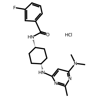 Cc1nc(N[C@H]2CC[C@@H](NC(=O)c3cccc(F)c3)CC2)cc(N(C)C)n1.Cl